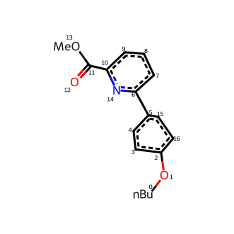 CCCCOc1ccc(-c2cccc(C(=O)OC)n2)cc1